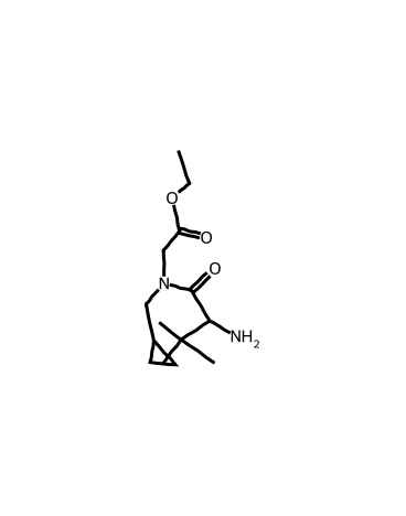 CCOC(=O)CN(CC1CC1)C(=O)C(N)C(C)(C)C